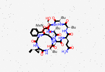 C=C[C@H]1C[C@]12NC(=O)[C@H](C)NC(=O)[C@H](NC(=O)[C@H](CO)NC(=O)[C@@H](NC(=O)[C@H](NC(=O)[C@@H](CCC(N)=O)NC(=O)[C@H](CO)NC(=O)[C@@H](NC(=O)[C@@H](Cc1ccccc1)NC)[C@@H](C)CC)[C@@H](C)CC)[C@@H](C)CC)[C@H](C)NC(=O)[C@H]([C@@H](C)CC)NC2=O